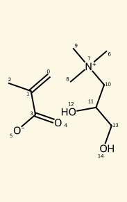 C=C(C)C(=O)[O-].C[N+](C)(C)CC(O)CO